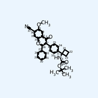 COc1cc2c(=O)c(-c3ccc(C4(NC(=O)OC(C)(C)C)CCC4)cc3)c(-c3ccccc3)oc2cc1C#N